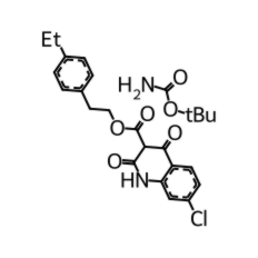 CC(C)(C)OC(N)=O.CCc1ccc(CCOC(=O)C2C(=O)Nc3cc(Cl)ccc3C2=O)cc1